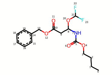 CCCCOC(=O)NC(CC(=O)OCc1ccccc1)OC(F)F